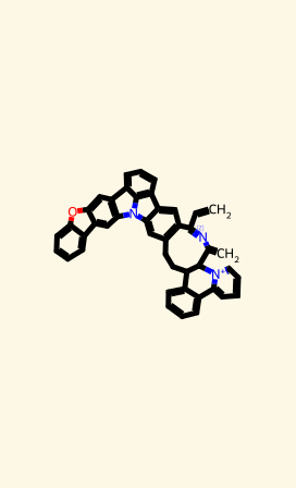 C=C/C1=N/C(=C)C2C(CCc3cc4c(cc31)c1cccc3c5cc6oc7ccccc7c6cc5n4c13)c1ccccc1-c1cccc[n+]12